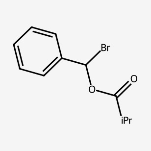 CC(C)C(=O)OC(Br)c1ccccc1